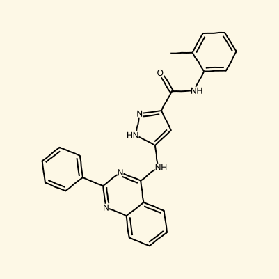 Cc1ccccc1NC(=O)c1cc(Nc2nc(-c3ccccc3)nc3ccccc23)[nH]n1